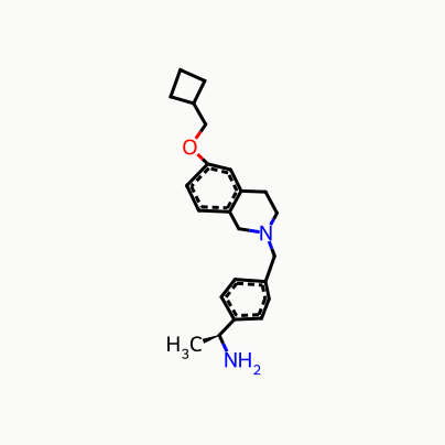 C[C@H](N)c1ccc(CN2CCc3cc(OCC4CCC4)ccc3C2)cc1